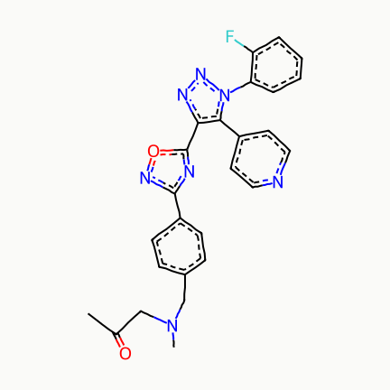 CC(=O)CN(C)Cc1ccc(-c2noc(-c3nnn(-c4ccccc4F)c3-c3ccncc3)n2)cc1